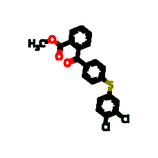 COC(=O)c1ccccc1C(=O)c1ccc(Sc2ccc(Cl)c(Cl)c2)cc1